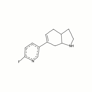 Fc1ccc(C2=CCC3CCNC3C2)cn1